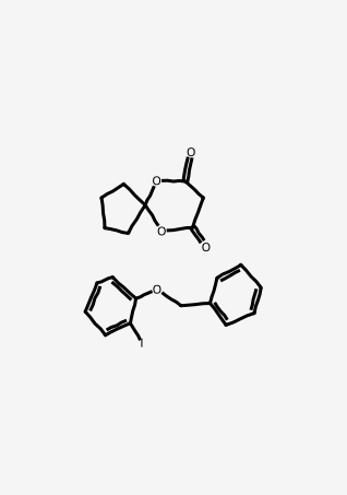 Ic1ccccc1OCc1ccccc1.O=C1CC(=O)OC2(CCCC2)O1